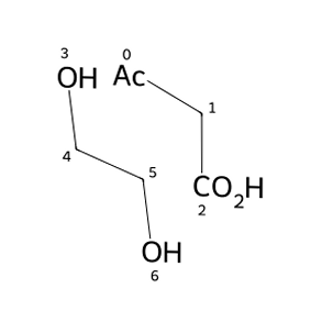 CC(=O)CC(=O)O.OCCO